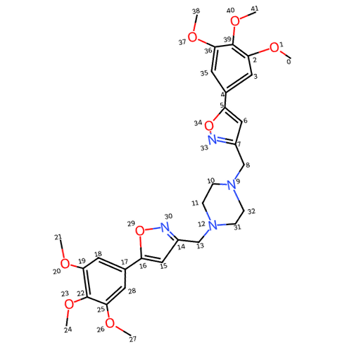 COc1cc(-c2cc(CN3CCN(Cc4cc(-c5cc(OC)c(OC)c(OC)c5)on4)CC3)no2)cc(OC)c1OC